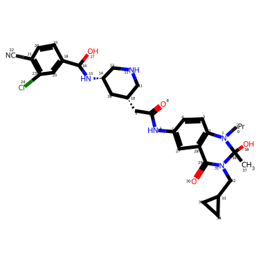 CC(C)N1c2ccc(NC(=O)C[C@H]3CNC[C@@H](NC(O)c4ccc(C#N)c(Cl)c4)C3)cc2C(=O)N(CC2CC2)C1(C)O